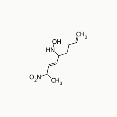 C=CCCC(C=CC(C)[N+](=O)[O-])NO